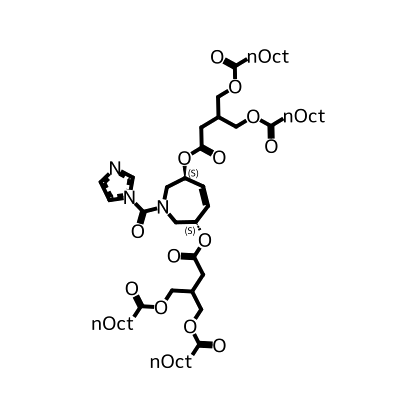 CCCCCCCCC(=O)OCC(COC(=O)CCCCCCCC)CC(=O)O[C@H]1C=C[C@H](OC(=O)CC(COC(=O)CCCCCCCC)COC(=O)CCCCCCCC)CN(C(=O)n2ccnc2)C1